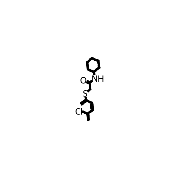 C=C(Cl)/C=C\C(=C)SCC(=O)NC1CCCCC1